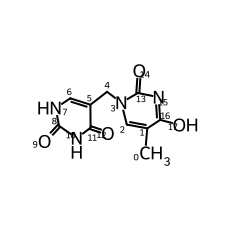 Cc1cn(Cc2c[nH]c(=O)[nH]c2=O)c(=O)nc1O